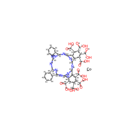 O=C(O)c1c(C(=O)O)c(C(=O)O)c2c(c1C(=O)O)-c1nc-2nc2[nH]c(nc3nc(nc4[nH]c(n1)c1ccccc41)-c1ccccc1-3)c1c(C(=O)O)c(C(=O)O)c(C(=O)O)c(C(=O)O)c21.[Co]